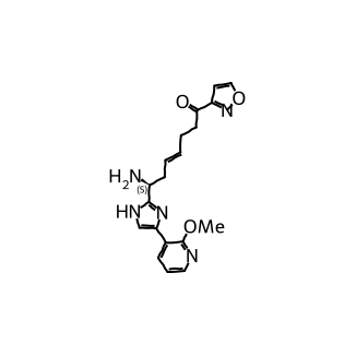 COc1ncccc1-c1c[nH]c([C@@H](N)CC=CCCC(=O)c2ccon2)n1